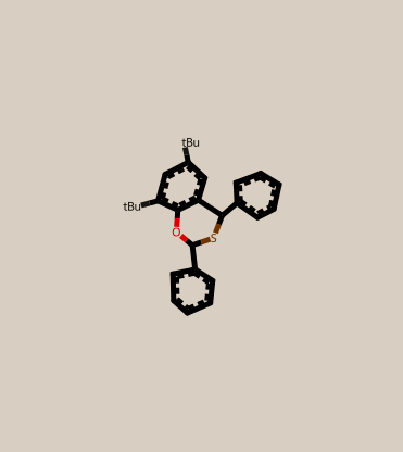 CC(C)(C)c1cc2c(c(C(C)(C)C)c1)OC(c1ccccc1)SC2c1ccccc1